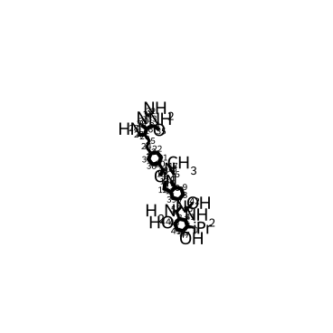 CC(C)c1cc(C(N)N(c2ccc3c(ccn3CN(C)C(=O)c3ccc(CCc4c[nH]c5nc(N)[nH]c(=O)c45)cc3)c2)C(N)O)c(O)cc1O